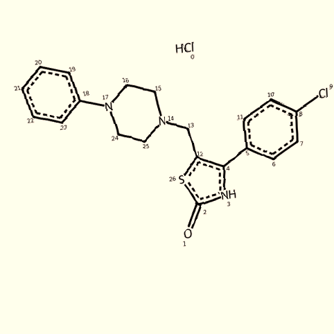 Cl.O=c1[nH]c(-c2ccc(Cl)cc2)c(CN2CCN(c3ccccc3)CC2)s1